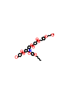 CCCCCCOc1ccc(Oc2nc3cc(OC(=O)C4CCC(C(=O)OCCc5ccc(OCCCCOC)cc5)CC4)ccc3c3ccc(OC(=O)C4CCC(C=O)CC4)cc23)cc1